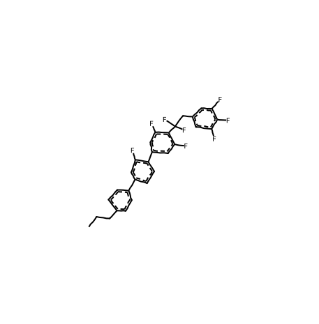 CCCc1ccc(-c2ccc(-c3cc(F)c(C(F)(F)Cc4cc(F)c(F)c(F)c4)c(F)c3)c(F)c2)cc1